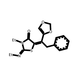 CCN=C1SC(=C(Cc2ccccc2)C2=COCO2)C(=O)N1CC